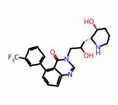 O=c1c2c(-c3cccc(C(F)(F)F)c3)cccc2ncn1CC(O)C[C@H]1NCCC[C@@H]1O